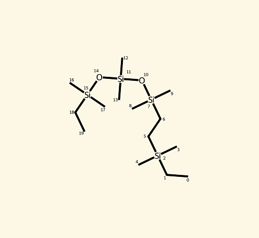 CC[Si](C)(C)CC[Si](C)(C)O[Si](C)(C)O[Si](C)(C)CC